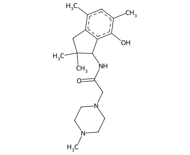 Cc1cc(C)c2c(c1O)C(NC(=O)CN1CCN(C)CC1)C(C)(C)C2